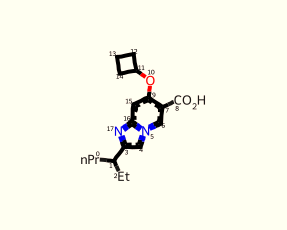 CCCC(CC)c1cn2cc(C(=O)O)c(OC3CCC3)cc2n1